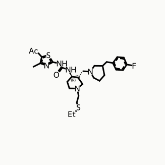 CCSCCN1CC[C@@H](NC(=O)Nc2nc(C)c(C(C)=O)s2)[C@H](CN2CCCC(Cc3ccc(F)cc3)C2)C1